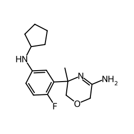 CC1(c2cc(NC3CCCC3)ccc2F)COCC(N)=N1